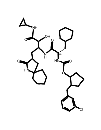 O=C(N[C@@H](CC1CCCCC1)C(=O)NC(CC1CC2(CCCCC2)NC1=O)C(O)C(=O)NC1CC1)OC1CCCC1Cc1cccc(Cl)c1